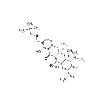 C[C@H]1c2ccc(CNCC(C)(C)C)c(O)c2C(=O)C2=C(O)[C@]3(O)C=C(C(N)=O)C(=O)[C@@H](N(C)C)[C@@H]3[C@@H](O)[C@@H]21